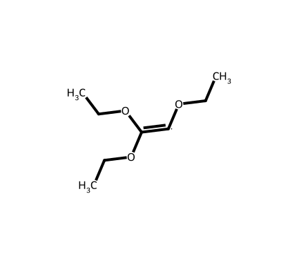 CCO[C]=C(OCC)OCC